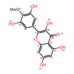 COc1c(O)cc(-c2oc3cc(O)cc(O)c3c(=O)c2O)cc1O